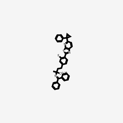 CC(CCc1ccc(-c2nc3ccc(C4(c5ccccc5)CC4)nc3s2)c(F)c1)(N=C(c1ccccc1)c1ccccc1)C(=O)O